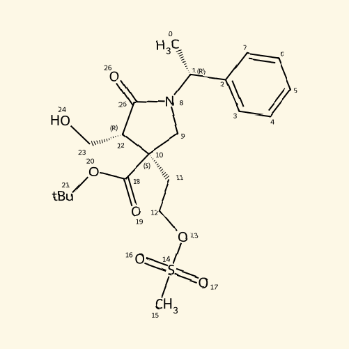 C[C@H](c1ccccc1)N1C[C@@](CCOS(C)(=O)=O)(C(=O)OC(C)(C)C)[C@H](CO)C1=O